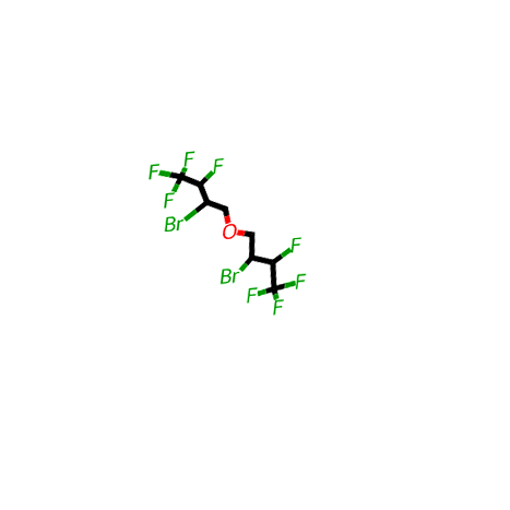 FC(C(Br)COCC(Br)C(F)C(F)(F)F)C(F)(F)F